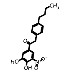 CCCCc1ccc(CC(=O)c2cc(O)c(O)c([N+](=O)[O-])c2)cc1